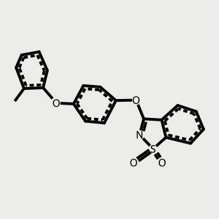 Cc1ccccc1Oc1ccc(OC2=NS(=O)(=O)c3ccccc32)cc1